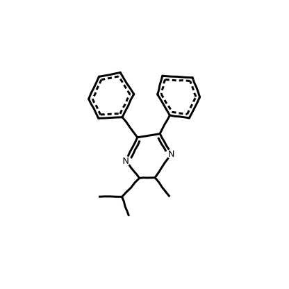 CC(C)C1N=C(c2ccccc2)C(c2ccccc2)=NC1C